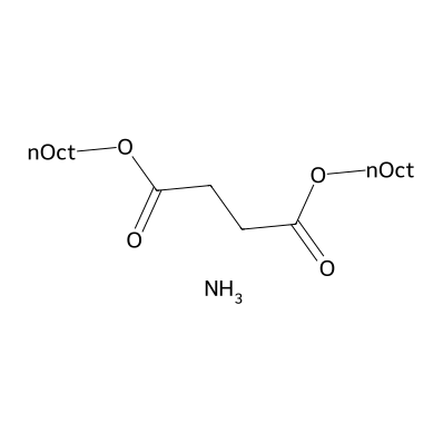 CCCCCCCCOC(=O)CCC(=O)OCCCCCCCC.N